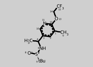 Cc1cc(C(C)N[S@@+]([O-])C(C)(C)C)cnc1OCC(F)(F)F